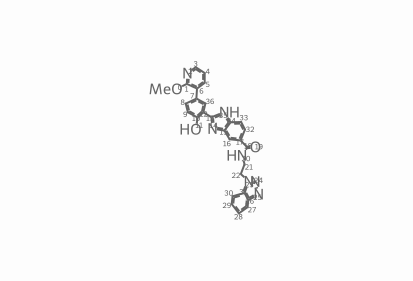 COc1ncccc1-c1ccc(O)c(-c2nc3cc(C(=O)NCCn4nnc5ccccc54)ccc3[nH]2)c1